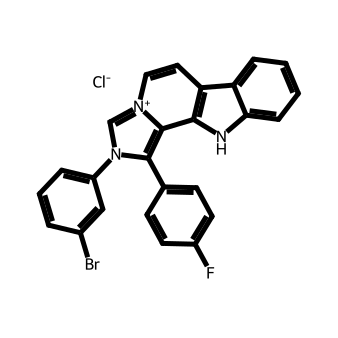 Fc1ccc(-c2c3c4[nH]c5ccccc5c4cc[n+]3cn2-c2cccc(Br)c2)cc1.[Cl-]